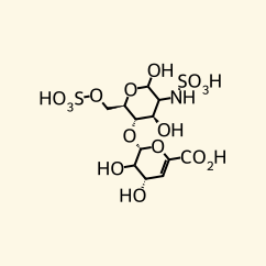 O=C(O)C1=C[C@H](O)C(O)[C@H](O[C@H]2[C@H](O)C(NS(=O)(=O)O)C(O)O[C@@H]2COS(=O)(=O)O)O1